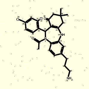 CC(=O)N1c2ccc(CCCN)cc2NC2=C(C(=O)CC(C)(C)C2)C1c1ccc(Cl)cc1Cl